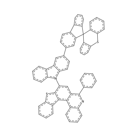 c1ccc(-c2nc3ccccc3c3c2cc(-n2c4ccccc4c4cc(-c5ccc6c(c5)C5(c7ccccc7Sc7ccccc75)c5ccccc5-6)ccc42)c2sc4ccccc4c23)cc1